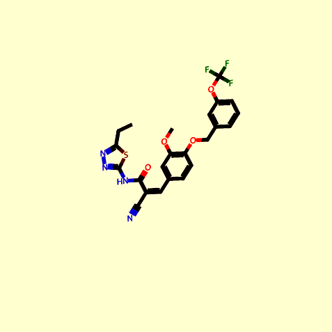 CCc1nnc(NC(=O)C(C#N)=Cc2ccc(OCc3cccc(OC(F)(F)F)c3)c(OC)c2)s1